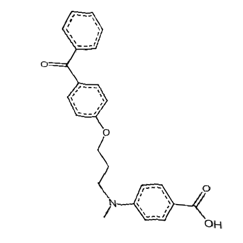 CN(CCCOc1ccc(C(=O)c2ccccc2)cc1)c1ccc(C(=O)O)cc1